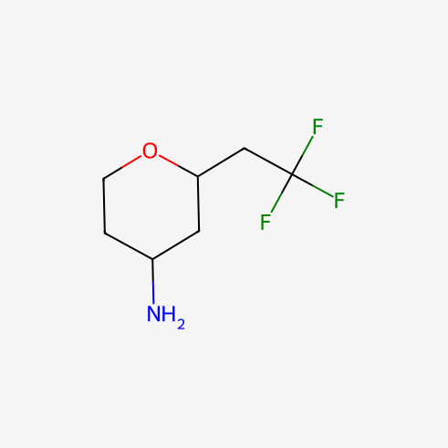 NC1CCOC(CC(F)(F)F)C1